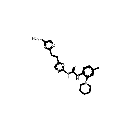 Cc1ccc(NC(=O)Nc2ncc(CCc3nc(C(=O)O)co3)s2)c(N2CCCCC2)c1